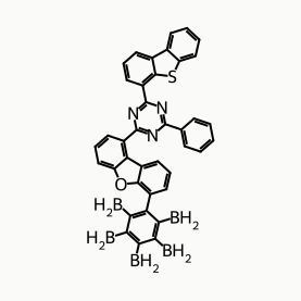 Bc1c(B)c(B)c(-c2cccc3c2oc2cccc(-c4nc(-c5ccccc5)nc(-c5cccc6c5sc5ccccc56)n4)c23)c(B)c1B